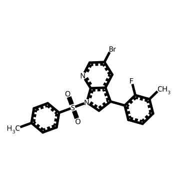 Cc1ccc(S(=O)(=O)n2cc(-c3cccc(C)c3F)c3cc(Br)cnc32)cc1